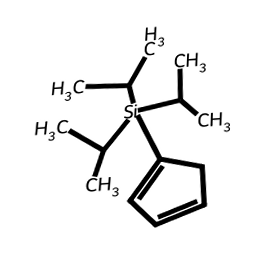 CC(C)[Si](C1=CC=CC1)(C(C)C)C(C)C